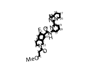 COCCC(=O)N1CCc2cc(F)c(C(=O)Nc3cccc(-c4nnc5n4CCC5)n3)cc2C1